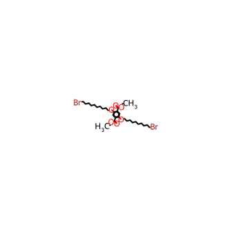 CCOC(=O)c1cc(OCCCCCCCCCCBr)c(C(=O)OCC)cc1OCCCCCCCCCCBr